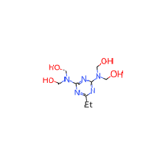 CCc1nc(N(CO)CO)nc(N(CO)CO)n1